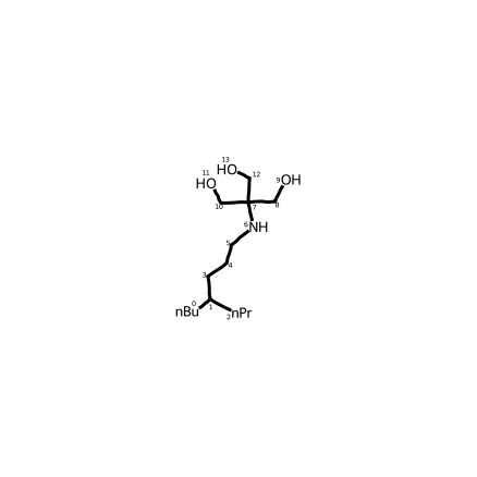 CCCCC(CCC)CCCNC(CO)(CO)CO